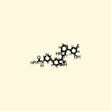 CCCC(=O)Nc1cncc(-c2ccc3[nH]nc(-c4cc5c(-c6cc(O)cc(F)c6)nccc5[nH]4)c3c2)c1